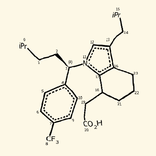 CC(C)CC[C@H](c1ccc(C(F)(F)F)cc1)n1cc(CC(C)C)c2c1C(CC(=O)O)CCC2